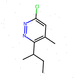 [CH2]CC(C)c1nnc(Cl)cc1C